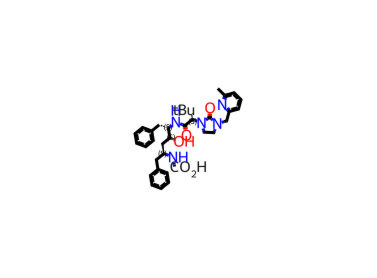 Cc1cccc(CN2CCN([C@H](C(=O)N[C@@H](Cc3ccccc3)[C@@H](O)C[C@H](Cc3ccccc3)NC(=O)O)C(C)(C)C)C2=O)n1